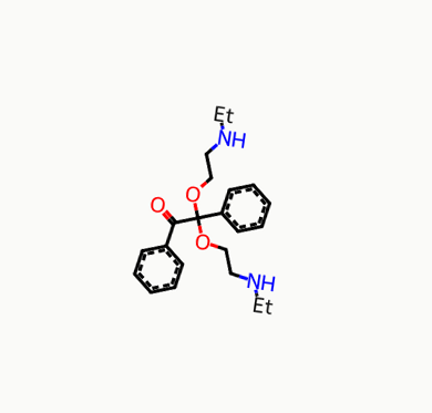 CCNCCOC(OCCNCC)(C(=O)c1ccccc1)c1ccccc1